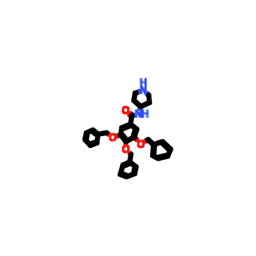 O=C(NC1CCNCC1)c1cc(OCc2ccccc2)c(OCc2ccccc2)c(OCc2ccccc2)c1